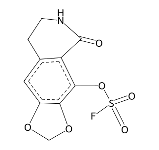 O=C1NCCc2cc3c(c(OS(=O)(=O)F)c21)OCO3